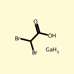 O=C(O)C(Br)Br.[GaH3]